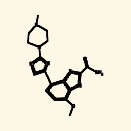 COc1ccc(-c2csc(N3CCN(C)CC3)n2)c2sc(C(N)=O)nc12